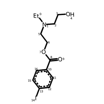 CCN(CCO)CCOC(=O)c1ccc(I)cc1